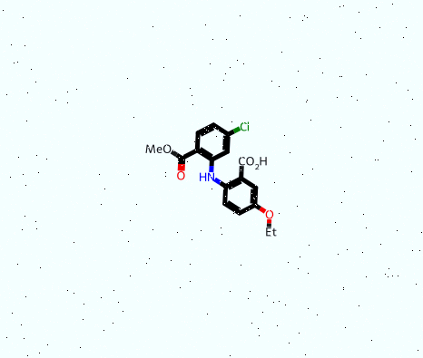 CCOc1ccc(Nc2cc(Cl)ccc2C(=O)OC)c(C(=O)O)c1